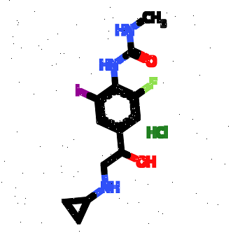 CNC(=O)Nc1c(F)cc(C(O)CNC2CC2)cc1I.Cl